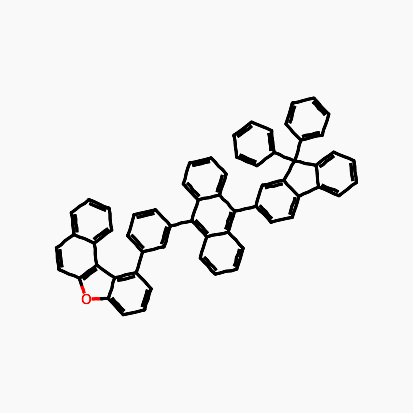 c1ccc(C2(c3ccccc3)c3ccccc3-c3ccc(-c4c5ccccc5c(-c5cccc(-c6cccc7oc8ccc9ccccc9c8c67)c5)c5ccccc45)cc32)cc1